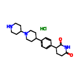 Cl.O=C1CCC(c2ccc(C3CCN(C4CCNCC4)CC3)cc2)C(=O)N1